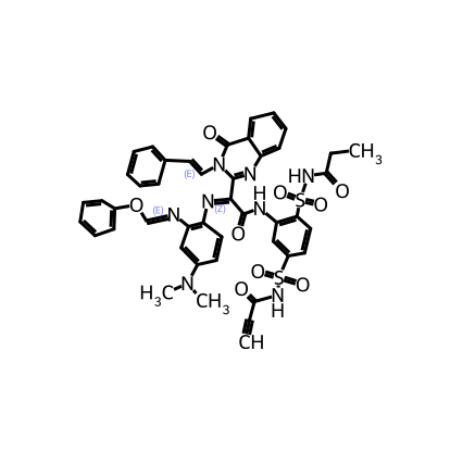 C#CC(=O)NS(=O)(=O)c1ccc(S(=O)(=O)NC(=O)CC)c(NC(=O)/C(=N\c2ccc(N(C)C)cc2/N=C/Oc2ccccc2)c2nc3ccccc3c(=O)n2/C=C/c2ccccc2)c1